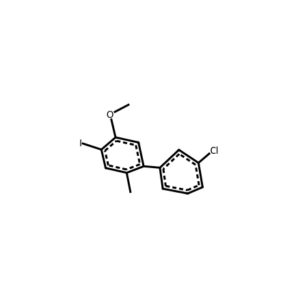 COc1cc(-c2cccc(Cl)c2)c(C)cc1I